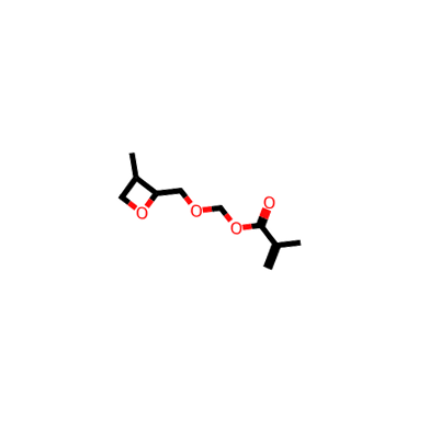 C=C(C)C(=O)OCOCC1OCC1C